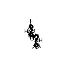 C[C@@H]1CC(CNc2cccc(-c3cc(NC(=O)[C@@H]4CCNC4)ncc3Cl)n2)C[C@H](C)O1